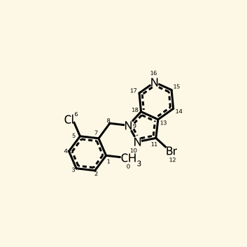 Cc1cccc(Cl)c1Cn1nc(Br)c2ccncc21